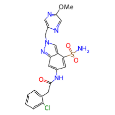 COc1cnc(Cn2cc3c(S(N)(=O)=O)cc(NC(=O)Cc4ccccc4Cl)cc3n2)cn1